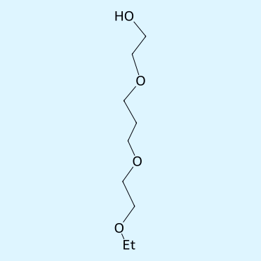 CCOCCOCCCOCCO